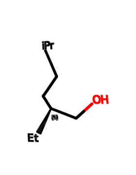 CC[C@H](CO)CCC(C)C